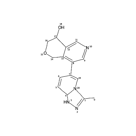 CC1=NNC2C=CC(c3cncc4c3COCC4O)=CN12